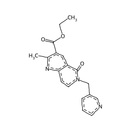 CCOC(=O)c1cc2c(=O)n(Cc3cccnc3)ccc2nc1C